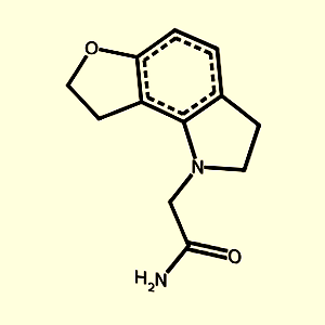 NC(=O)CN1CCc2ccc3c(c21)CCO3